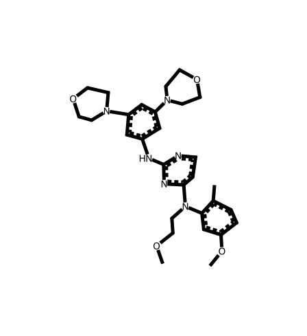 COCCN(c1ccnc(Nc2cc(N3CCOCC3)cc(N3CCOCC3)c2)n1)c1cc(OC)ccc1C